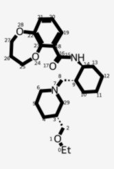 CCOC[C@@H]1CCCN(C[C@H]2CCCC[C@@H]2NC(=O)c2cccc3c2OCCCO3)C1